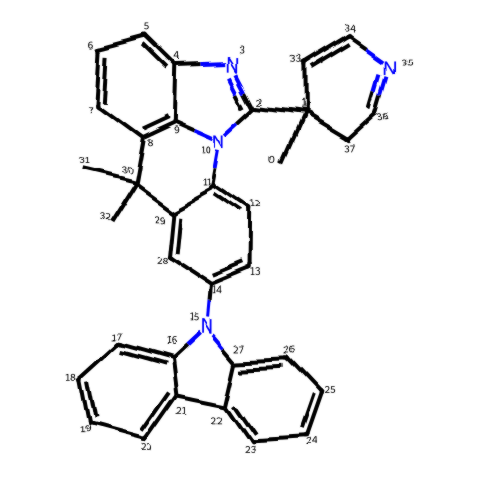 CC1(c2nc3cccc4c3n2-c2ccc(-n3c5ccccc5c5ccccc53)cc2C4(C)C)C=CN=CC1